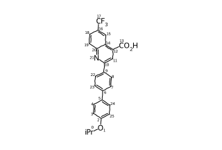 CC(C)Oc1ccc(-c2ccc(-c3cc(C(=O)O)c4cc(C(F)(F)F)ccc4n3)cc2)cc1